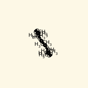 CC(C)(c1ccc(OCC(O)CN2C(C)(C)CC3(CC2(C)C)OCCO3)cc1)c1ccc(OCC(O)CN2C(C)(C)CC3(CC2(C)C)OCCO3)cc1